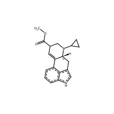 COC(=O)C1C=C2c3cccc4[nH]cc(c34)C[C@H]2N(C2CC2)C1